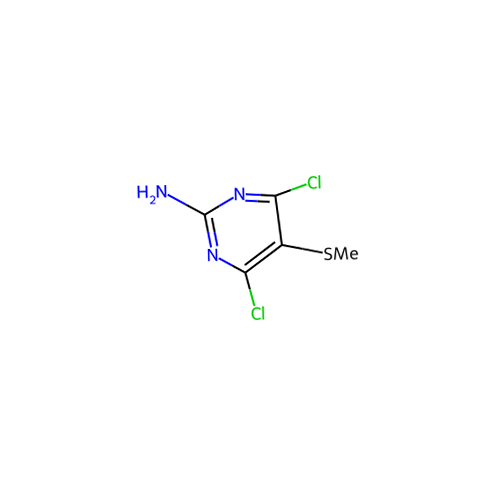 CSc1c(Cl)nc(N)nc1Cl